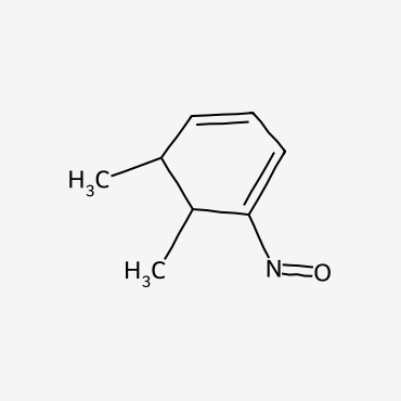 CC1C=CC=C(N=O)C1C